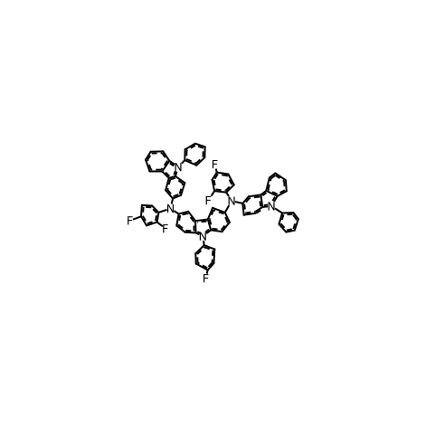 Fc1ccc(-n2c3ccc(N(c4ccc5c(c4)c4ccccc4n5-c4ccccc4)c4ccc(F)cc4F)cc3c3cc(N(c4ccc5c(c4)c4ccccc4n5-c4ccccc4)c4ccc(F)cc4F)ccc32)cc1